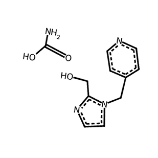 NC(=O)O.OCc1nccn1Cc1ccncc1